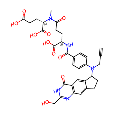 C#CCN(c1ccc(C(=O)N[C@@H](CCC(=O)N(C)[C@@H](CCC(=O)O)C(=O)O)C(=O)O)cc1)C1CCc2cc3nc(CO)[nH]c(=O)c3cc21